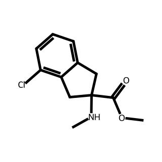 CNC1(C(=O)OC)Cc2cccc(Cl)c2C1